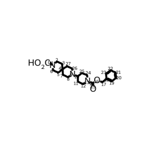 O=C(O)N1CCC2(CC1)CCN(C1CCN(C(=O)OCc3ccccc3)CC1)CC2